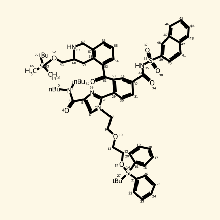 CCCCN(CCCC)C(=O)c1cn(CCOCCO[Si](c2ccccc2)(c2ccccc2)C(C)(C)C)c(-c2ccc(C(=O)NS(=O)(=O)c3ccc4ccccc4c3)cc2C(=O)c2cccc3c2CC(CO[Si](C)(C)C(C)(C)C)NC3)n1